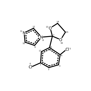 Clc1ccc(Cl)c(C2(n3ccnc3)OCCO2)c1